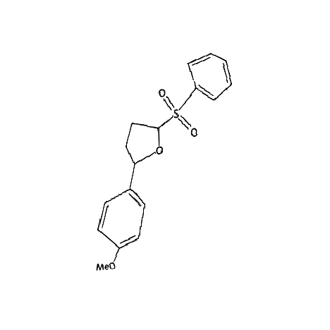 COc1ccc(C2CCC(S(=O)(=O)c3ccccc3)O2)cc1